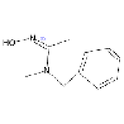 C/C(=N/O)N(C)Cc1ccccc1